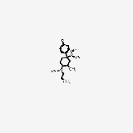 C=CCN(CCC)C1CCC(c2ccc(Cl)cc2)(N(CCC)CCC)CC1C